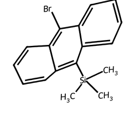 C[Si](C)(C)c1c2ccccc2c(Br)c2ccccc12